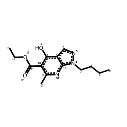 CCCCn1ncc2c(O)c(C(=O)OCC)c(C)nc21